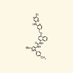 CCc1cnc(Nc2cc(COc3ccc(NC(=O)Nc4cc(C(C)(C)C)nn4-c4ccc(C)cc4)c4ccccc34)ccn2)cn1